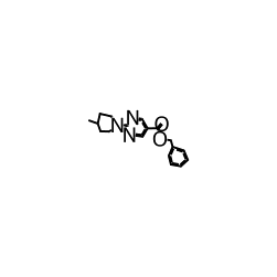 CC1CCN(c2ncc(C(=O)OCc3ccccc3)cn2)CC1